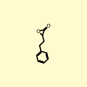 O=C1OC1CCc1ccccc1